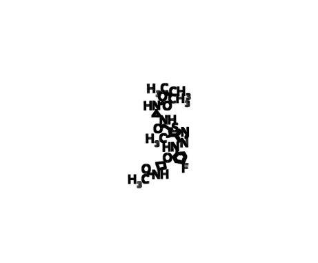 CC(=O)NC1CC(Oc2cc(F)ccc2Nc2ncnc3sc(C(=O)NC4CC4NC(=O)OC(C)(C)C)c(C)c23)C1